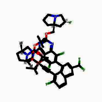 COc1c(F)c(-c2cc(C(F)F)cc3ccc(F)c(C#C[Si](C(C)C)(C(C)C)C(C)C)c23)c(F)c2nc(OC[C@@]34CCCN3C[C@H](F)C4)nc(N3C[C@H]4CC[C@@H](C3)N4C(=O)OC(C)(C)C)c12